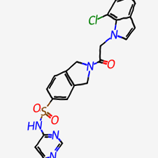 O=C(Cn1ccc2cccc(Cl)c21)N1Cc2ccc(S(=O)(=O)Nc3ccncn3)cc2C1